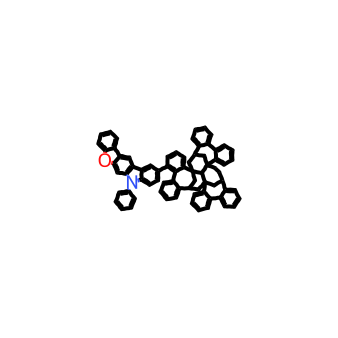 c1ccc(-n2c3ccc(-c4cccc5c4-c4ccccc4C4CC67CC(CCC89CC(CC5(C4)C86)c4ccccc4-c4ccccc49)c4ccccc4-c4ccccc47)cc3c3cc4c(cc32)oc2ccccc24)cc1